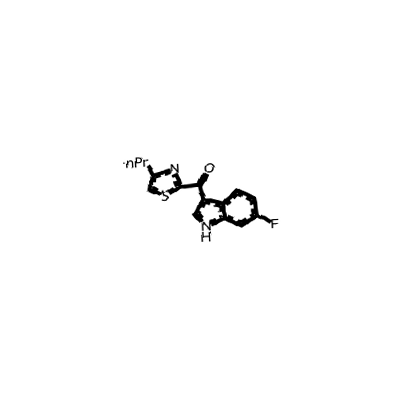 CC[CH]c1csc(C(=O)c2c[nH]c3cc(F)ccc23)n1